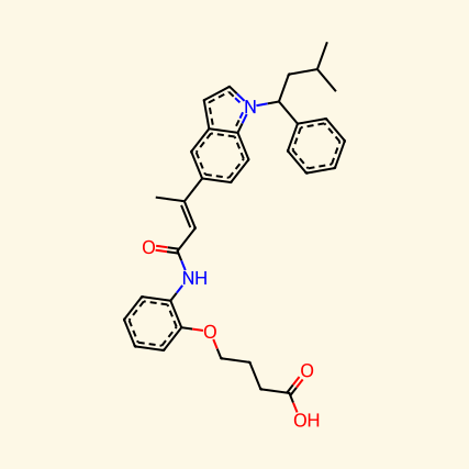 C/C(=C\C(=O)Nc1ccccc1OCCCC(=O)O)c1ccc2c(ccn2C(CC(C)C)c2ccccc2)c1